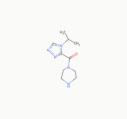 CC(C)n1cnnc1C(=O)N1CCNCC1